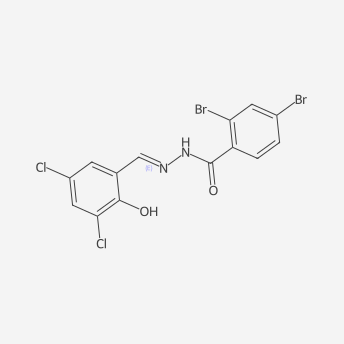 O=C(N/N=C/c1cc(Cl)cc(Cl)c1O)c1ccc(Br)cc1Br